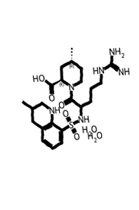 CC1CNc2c(cccc2S(=O)(=O)NC(CCCNC(=N)N)C(=O)N2CC[C@@H](C)C[C@@H]2C(=O)O)C1.O.O